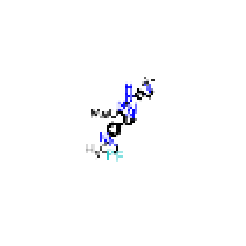 COc1nc(N[C@H]2C[C@]3(CCN3C(C)=O)C2)nn2ccc(-c3ccc4nc(C)n(CC(F)F)c4c3)c12